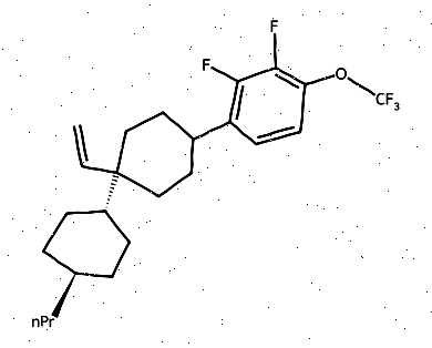 C=CC1([C@H]2CC[C@H](CCC)CC2)CCC(c2ccc(OC(F)(F)F)c(F)c2F)CC1